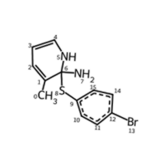 CC1=CC=CNC1(N)Sc1ccc(Br)cc1